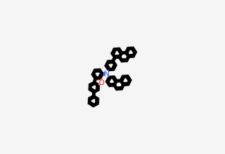 c1ccc(-c2ccc3c(c2)oc2c(N(c4ccc(-c5cccc6c5ccc5ccccc56)cc4)c4ccc5ccc6ccccc6c5c4)cccc23)cc1